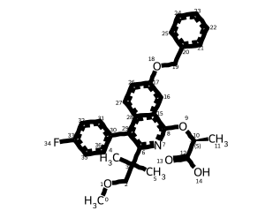 COCC(C)(C)c1nc(O[C@@H](C)C(=O)O)c2cc(OCc3ccccc3)ccc2c1-c1ccc(F)cc1